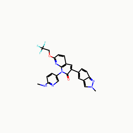 CNc1ccc(-n2c(=O)c(-c3ccc4nn(C)cc4c3)cc3ccc(OCC(F)(F)F)nc32)cn1